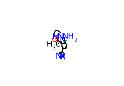 C[C@@]1(c2cc(-c3cncnc3)ccc2F)CS2(=O)=NCCCCN2C(N)=N1